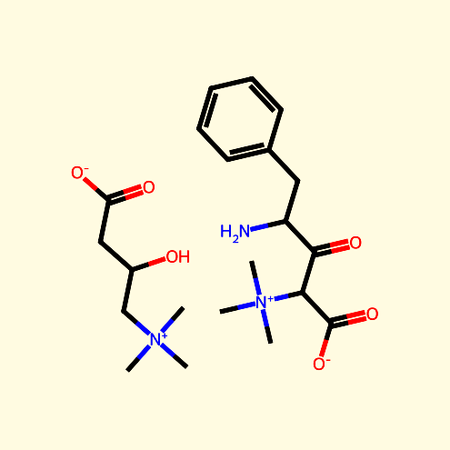 C[N+](C)(C)C(C(=O)[O-])C(=O)C(N)Cc1ccccc1.C[N+](C)(C)CC(O)CC(=O)[O-]